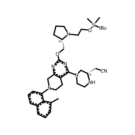 Cc1cccc2cccc(N3CCc4c(nc(OC[C@@H]5CCCN5CCO[Si](C)(C)C(C)(C)C)nc4N4CCN[C@@H](CC#N)C4)C3)c12